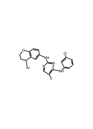 CC(=O)N1CCOc2ccc(Nc3ncc(F)c(Nc4cccc(Cl)c4)n3)cc21